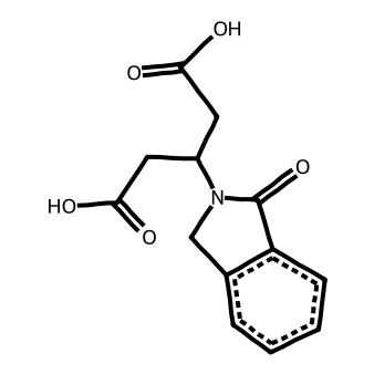 O=C(O)CC(CC(=O)O)N1Cc2ccccc2C1=O